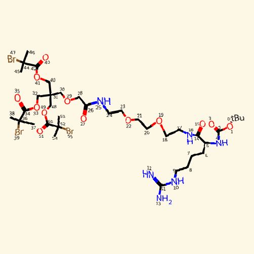 CC(C)(C)OC(=O)N[C@@H](CCCCNC(=N)N)C(=O)NCCOCCOCCNC(=O)COCC(COC(=O)C(C)(C)Br)(COC(=O)C(C)(C)Br)COC(=O)C(C)(C)Br